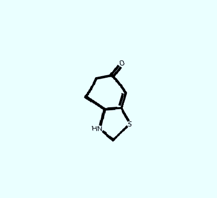 O=C1C=C2SCNC2CC1